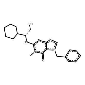 Cn1c(N[C@@H](CO)C2CCCCC2)nc2ncn(Cc3ccccc3)c2c1=O